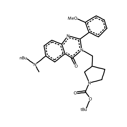 CCCCN(C)c1ccc2nc(-c3ccccc3OC)n(CC3CCN(C(=O)OC(C)(C)C)C3)c(=O)c2c1